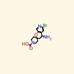 N[C@H]1CC2(CCN(C(=O)O)CC2)Oc2cnc(Br)cc21